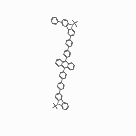 CC(C)(C)n1c2ccccc2c2cc(-c3ccc(-c4ccc(-c5c6ccccc6c(-c6ccc(-c7ccc(-c8ccc9c(c8)c8cc(-c%10ccccc%10)ccc8n9C(C)(C)C)cc7)cc6)c6ccccc56)cc4)cc3)ccc21